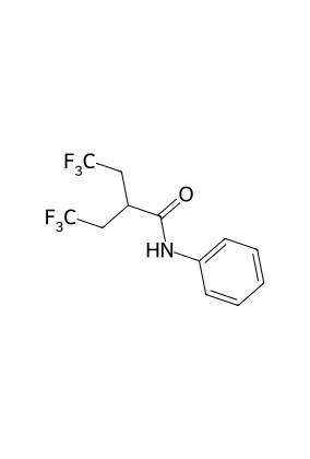 O=C(Nc1ccccc1)C(CC(F)(F)F)CC(F)(F)F